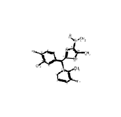 CC1=C(F)C=CCN1C(c1ccc(F)c(Cl)c1)c1nc([S+](C)[O-])c(C)[nH]1